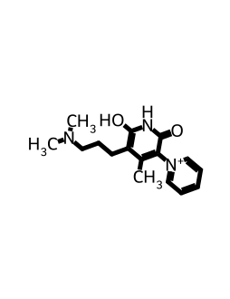 Cc1c(CCCN(C)C)c(O)[nH]c(=O)c1-[n+]1ccccc1